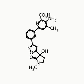 Cc1cc(-c2cccc(-c3cc(C4(O)CCN(C)C4=O)on3)c2)nc(C(=O)O)c1N